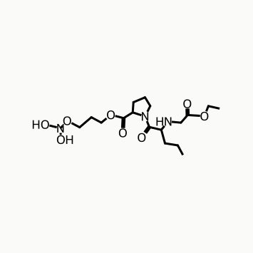 CCCC(NCC(=O)OCC)C(=O)N1CCCC1C(=O)OCCCON(O)O